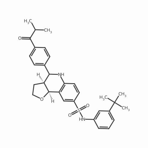 CC(C)C(=O)c1ccc(C2Nc3ccc(S(=O)(=O)Nc4cccc(C(C)(C)C)c4)cc3[C@H]3OCC[C@@H]23)cc1